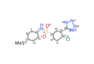 CSc1ccc(NS(=O)(=O)c2ccc(Cl)c(-c3nnn[nH]3)c2)cc1